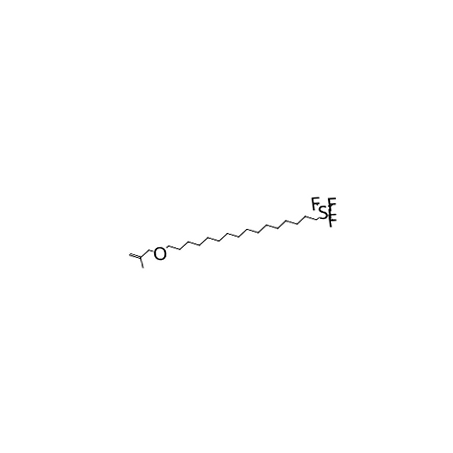 C=C(C)COCCCCCCCCCCCCCCCC[Si](F)(F)F